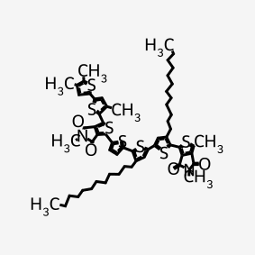 CCCCCCCCCCCCc1cc(-c2cc(CCCCCCCCCCCC)c(-c3sc(C)c4c3C(=O)N(C)C4=O)s2)sc1-c1ccc(-c2sc(-c3sc(-c4cc(C)c(C)s4)cc3C)c3c2C(=O)N(C)C3=O)s1